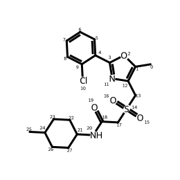 Cc1oc(-c2ccccc2Cl)nc1CS(=O)(=O)CC(=O)NC1CCC(C)CC1